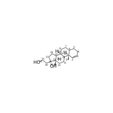 C[C@]12C=CCCC1CC[C@@H]1[C@@H]2CC[C@@]2(C)[C@H]1CC[C@]2(O)CCO